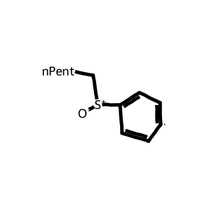 CCCCCC[S+]([O-])c1cc[c]cc1